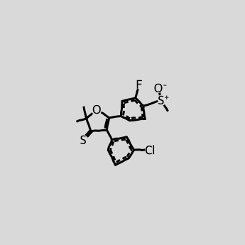 C[S+]([O-])c1ccc(C2=C(c3cccc(Cl)c3)C(=S)C(C)(C)O2)cc1F